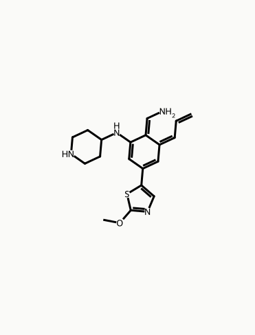 C=C/C=c1/cc(-c2cnc(OC)s2)cc(NC2CCNCC2)/c1=C/N